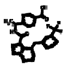 C[C@H](NC(=O)c1ncn2cccc(Cc3cccc(C(F)(F)F)c3)c12)c1ccc(C(=O)O)cc1